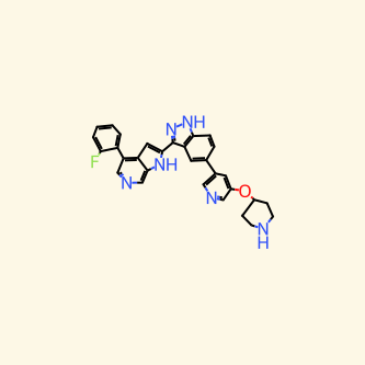 Fc1ccccc1-c1cncc2[nH]c(-c3n[nH]c4ccc(-c5cncc(OC6CCNCC6)c5)cc34)cc12